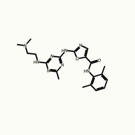 Cc1nc(NCCN(C)C)nc(Nc2ncc(C(=O)Nc3c(C)cccc3C)o2)n1